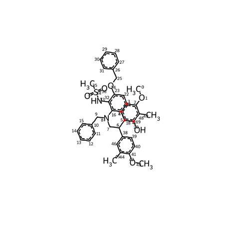 COc1ccc(C(CN(Cc2ccccc2)c2c(CCO)ccc(OCc3ccccc3)c2NS(C)(=O)=O)c2ccc(OC)c(C)c2)cc1C